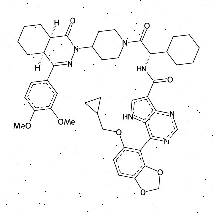 COc1ccc(C2=NN(C3CCN(C(=O)[C@@H](NC(=O)c4c[nH]c5c(-c6c(OCC7CC7)ccc7c6OCO7)ncnc45)C4CCCCC4)CC3)C(=O)[C@@H]3CCCC[C@H]23)cc1OC